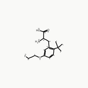 CC(C)(C)c1ccc(OCCF)cc1CC(N)C(=O)O